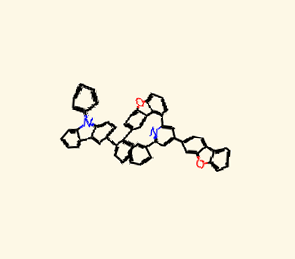 c1ccc(-c2cc(-c3ccc4c(c3)oc3ccccc34)cc(-c3cccc4oc5ccc(-c6ccccc6-c6ccc7c(c6)c6ccccc6n7-c6ccccc6)cc5c34)n2)cc1